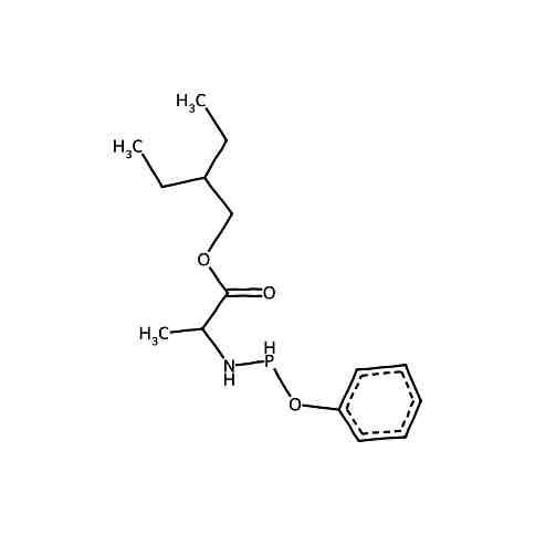 CCC(CC)COC(=O)C(C)NPOc1ccccc1